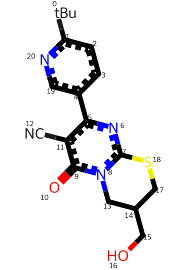 CC(C)(C)c1ccc(-c2nc3n(c(=O)c2C#N)CC(CO)CS3)cn1